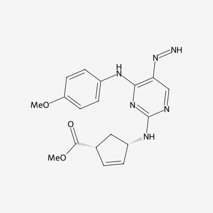 COC(=O)[C@H]1C=C[C@@H](Nc2ncc(N=N)c(Nc3ccc(OC)cc3)n2)C1